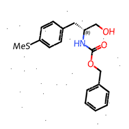 CSc1ccc(C[C@H](CO)NC(=O)OCc2ccccc2)cc1